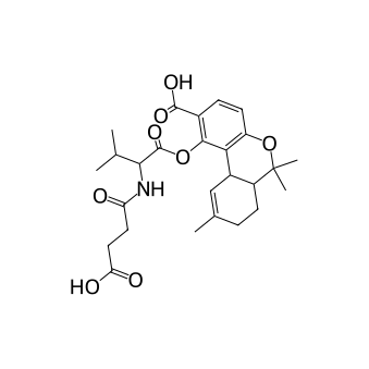 CC1=CC2c3c(ccc(C(=O)O)c3OC(=O)C(NC(=O)CCC(=O)O)C(C)C)OC(C)(C)C2CC1